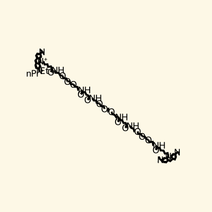 CCCN(CC)c1ccc2cc3ccc(N(C)C)cc3[n+](CCCCCC(=O)NCCCOCCOCCOCCCNC(=O)CCCC(=O)NCCCOCCOCCOCCCNC(=O)CCCC(=O)NCCCOCCOCCOCCCNC(=O)CCCCC[n+]3c4cc(N(C)C)ccc4cc4ccc(N(C)C)cc43)c2c1